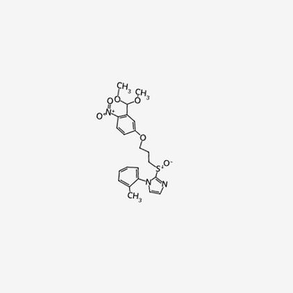 COC(OC)c1cc(OCCC[S+]([O-])c2nccn2-c2ccccc2C)ccc1[N+](=O)[O-]